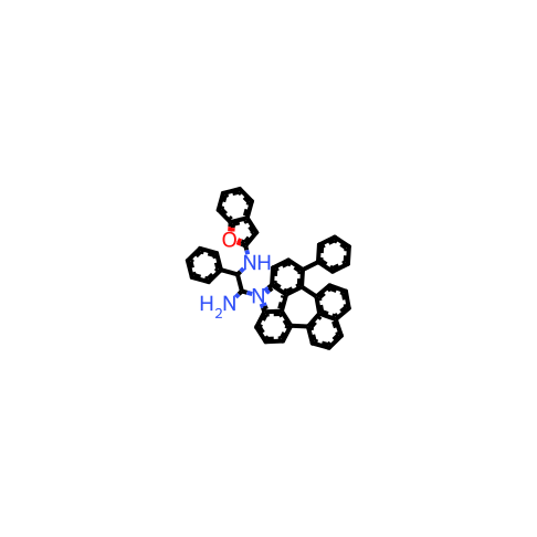 NC(C(Nc1cc2ccccc2o1)c1ccccc1)n1c2cccc3c2c2c(c(-c4ccccc4)ccc21)-c1cccc2cccc-3c12